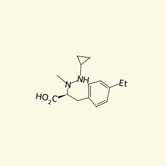 CCc1ccc(C[C@@H](C(=O)O)N(C)NC2CC2)cc1